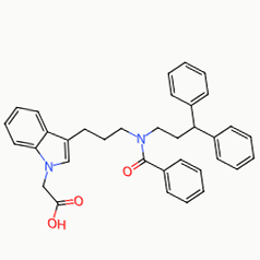 O=C(O)Cn1cc(CCCN(CCC(c2ccccc2)c2ccccc2)C(=O)c2ccccc2)c2ccccc21